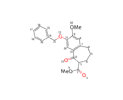 COC(=O)C1CCCc2cc(OC)c(OCc3ccccc3)cc2C1=O